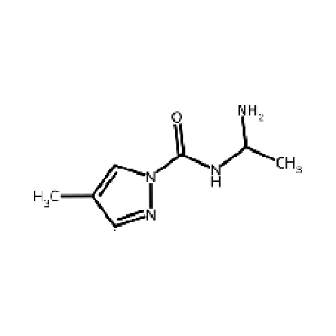 Cc1[c]nn(C(=O)NC(C)N)c1